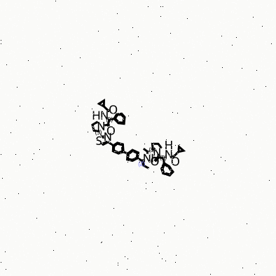 C/C=C(\NC(C)[C@@H]1CCCN1C(=O)[C@H](NC(=O)C1CC1)c1ccccc1)c1ccc(-c2ccc(-c3csc([C@@H]4CCCN4C(=O)[C@H](NC(=O)C4CC4)c4ccccc4)n3)cc2)cc1